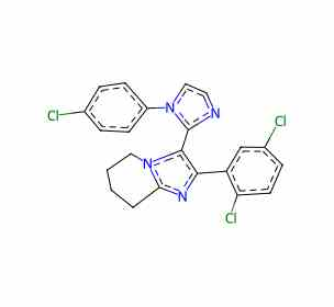 Clc1ccc(-n2ccnc2-c2c(-c3cc(Cl)ccc3Cl)nc3n2CCCC3)cc1